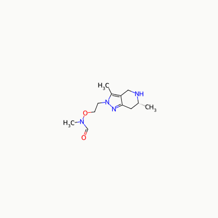 Cc1c2c(nn1CCON(C)C=O)C[C@@H](C)NC2